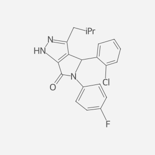 CC(C)Cc1n[nH]c2c1C(c1ccccc1Cl)N(c1ccc(F)cc1)C2=O